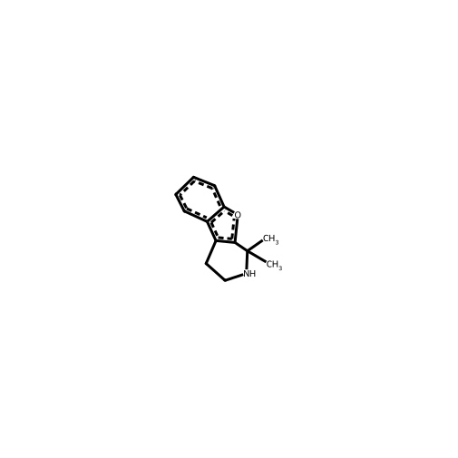 CC1(C)NCCc2c1oc1ccccc21